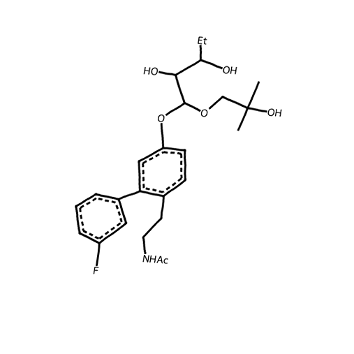 CCC(O)C(O)C(OCC(C)(C)O)Oc1ccc(CCNC(C)=O)c(-c2cccc(F)c2)c1